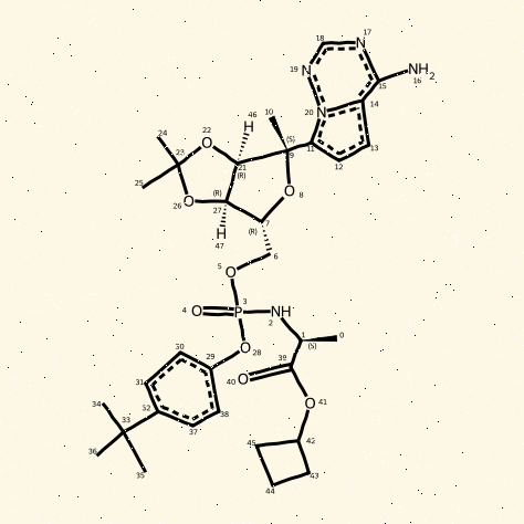 C[C@H](NP(=O)(OC[C@H]1O[C@@](C)(c2ccc3c(N)ncnn23)[C@@H]2OC(C)(C)O[C@@H]21)Oc1ccc(C(C)(C)C)cc1)C(=O)OC1CCC1